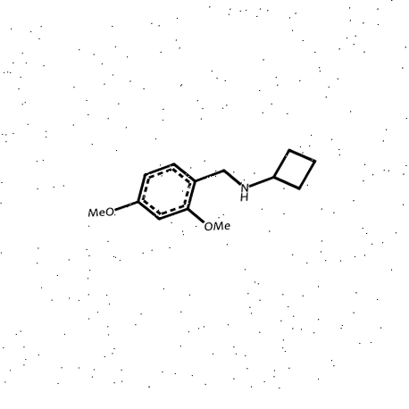 COc1ccc(CNC2CCC2)c(OC)c1